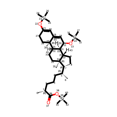 C[C@H](CCC[C@@H](C)[C@H]1CC[C@H]2[C@@H]3[C@H](O[Si](C)(C)C)C=C4C=C(O[Si](C)(C)C)CC[C@]4(C)[C@H]3CC[C@]12C)C(=O)O[Si](C)(C)C